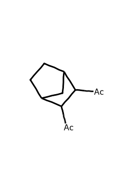 CC(=O)C1C2CCC(C2)C1C(C)=O